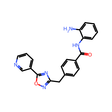 Nc1ccccc1NC(=O)c1ccc(Cc2noc(-c3cccnc3)n2)cc1